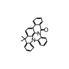 CC1(C)c2ccccc2N2c3ccccc3-n3c(=O)c4ccccc4c4ccc1c2c43